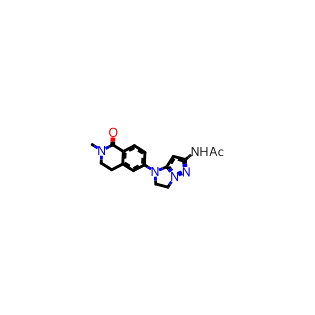 CC(=O)Nc1cc2n(n1)CCN2c1ccc2c(c1)CCN(C)C2=O